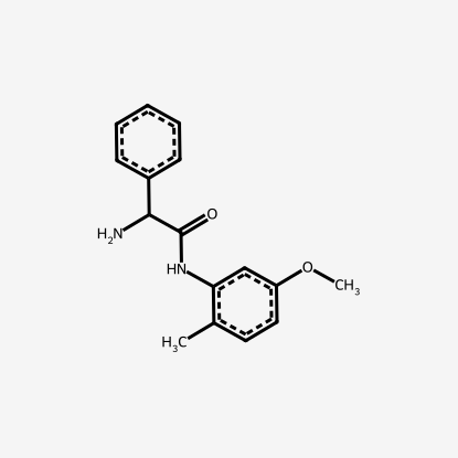 COc1ccc(C)c(NC(=O)C(N)c2ccccc2)c1